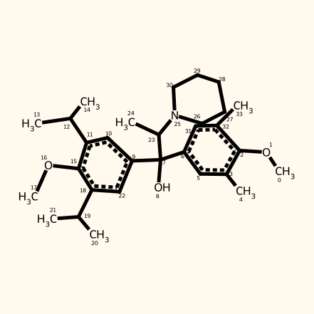 COc1c(C)cc(C(O)(c2cc(C(C)C)c(OC)c(C(C)C)c2)C(C)N2CCCCC2)cc1C